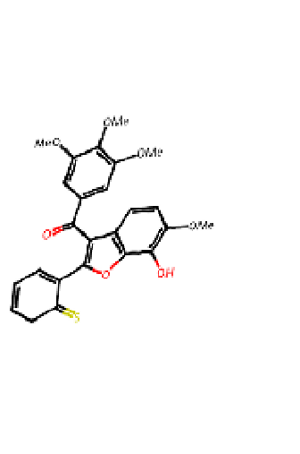 COc1cc(C(=O)c2c(C3=CC=CCC3=S)oc3c(O)c(OC)ccc23)cc(OC)c1OC